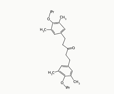 Cc1cc(CCC(=O)CCc2cc(C)c(OC(C)C)c(C)c2)cc(C)c1OC(C)C